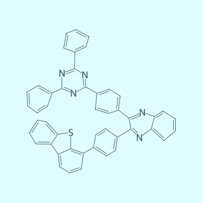 c1ccc(-c2nc(-c3ccccc3)nc(-c3ccc(-c4nc5ccccc5nc4-c4ccc(-c5cccc6c5sc5ccccc56)cc4)cc3)n2)cc1